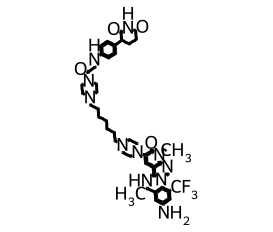 CC(Nc1ncnc2c1cc(N1CCN(CCCCCCCN3CCN(C(=O)CNc4ccc(C5CCC(=O)NC5=O)cc4)CC3)CC1)c(=O)n2C)c1cc(N)cc(C(F)(F)F)c1